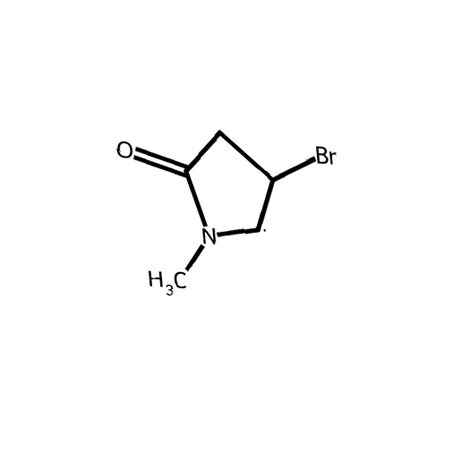 CN1[CH]C(Br)CC1=O